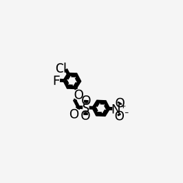 O=C(COc1ccc(Cl)c(F)c1)S(=O)(=O)c1ccc([N+](=O)[O-])cc1